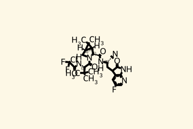 CC(C)(C)[C@H](NC(=O)C(F)(F)Cl)C(=O)N1C[C@H]2[C@@H]([C@H]1C(=O)N[C@H](C#N)CC1C(=O)Nc3ncc(F)cc31)C2(C)C